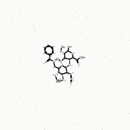 CCCCOC1[C@H](OCCCC)C(O)OC(C(=O)OC)[C@H]1O[C@@H]1OC(COC(=O)c2ccccc2)[C@@H](OCCCC)[C@H](OCCCC)C1N=[N+]=[N-]